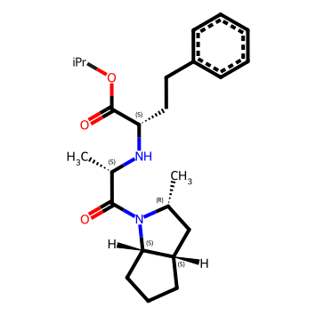 CC(C)OC(=O)[C@H](CCc1ccccc1)N[C@@H](C)C(=O)N1[C@H](C)C[C@@H]2CCC[C@@H]21